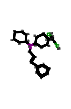 C(=Cc1ccccc1)CP(C1CCCCC1)C1CCCCC1.[Cl][Pd][Cl]